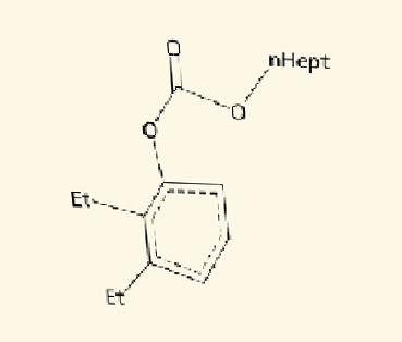 CCCCCCCOC(=O)Oc1cccc(CC)c1CC